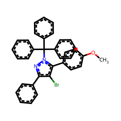 COc1ccc(-c2c(Br)c(-c3ccccc3)nn2C(c2ccccc2)(c2ccccc2)c2ccccc2)cc1